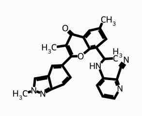 Cc1cc(C(C)Nc2cccnc2C#N)c2oc(-c3ccc4nn(C)cc4c3)c(C)c(=O)c2c1